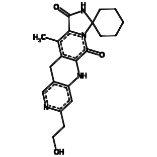 Cc1c2c(c(=O)n3c1C(=O)NC31CCCCC1)Nc1cc(CCO)ncc1C2